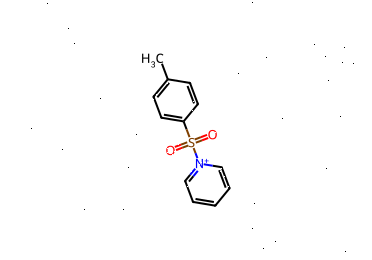 Cc1ccc(S(=O)(=O)[n+]2ccccc2)cc1